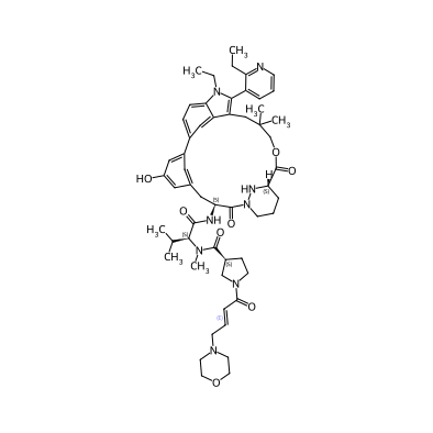 CCc1ncccc1-c1c2c3cc(ccc3n1CC)-c1cc(O)cc(c1)C[C@H](NC(=O)[C@H](C(C)C)N(C)C(=O)[C@H]1CCN(C(=O)/C=C/CN3CCOCC3)C1)C(=O)N1CCC[C@H](N1)C(=O)OCC(C)(C)C2